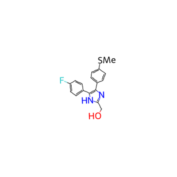 CSc1ccc(-c2nc(CO)[nH]c2-c2ccc(F)cc2)cc1